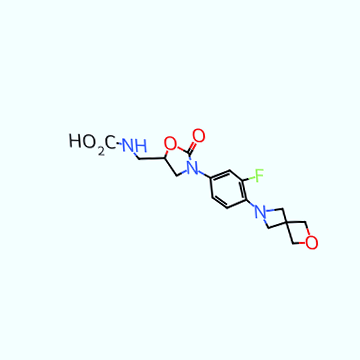 O=C(O)NCC1CN(c2ccc(N3CC4(COC4)C3)c(F)c2)C(=O)O1